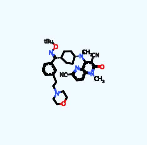 Cn1c(=O)c(C#N)c(N(C)[C@H]2CC[C@@H](/C(=N\OC(C)(C)C)c3cccc(CCN4CCOCC4)c3)CC2)c2nc(C#N)ccc21